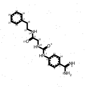 N=C(N)c1ccc(NC(=O)NCC(=O)NCCc2ccccc2)cc1